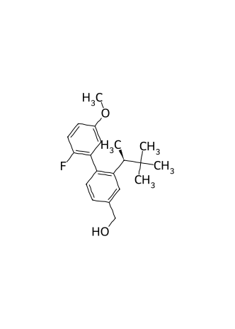 COc1ccc(F)c(-c2ccc(CO)cc2[C@@H](C)C(C)(C)C)c1